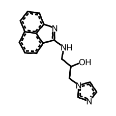 OC(CNC1=Nc2cccc3cccc1c23)Cn1ccnc1